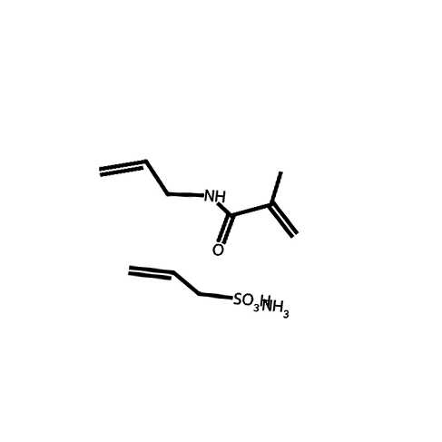 C=CCNC(=O)C(=C)C.C=CCS(=O)(=O)O.N